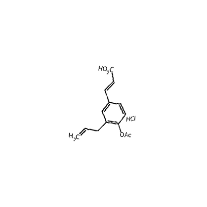 C=CCc1cc(C=CC(=O)O)ccc1OC(C)=O.Cl